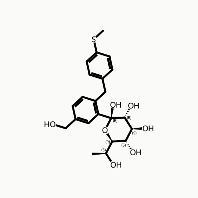 CSc1ccc(Cc2ccc(CO)cc2[C@@]2(O)O[C@H]([C@H](C)O)[C@@H](O)[C@H](O)[C@H]2O)cc1